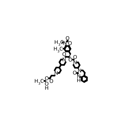 Cc1cc(C[C@@H](OC(=O)N2CCC(N3CCc4ccccc4NC3=O)CC2)C(=O)N2CCC(C3CCN(CCC(=O)OC(C)O)CC3)CC2)cc2oc(=O)n(C)c12